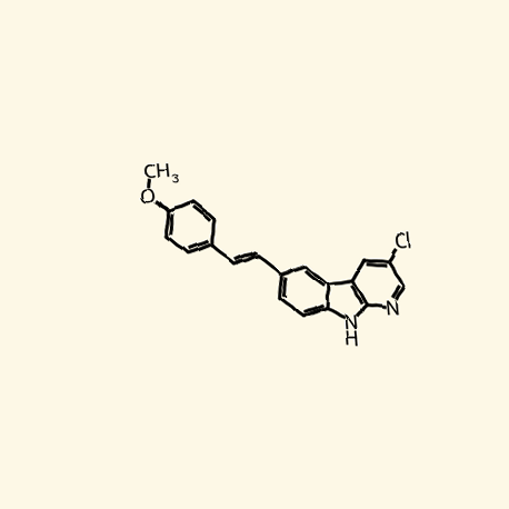 COc1ccc(/C=C/c2ccc3[nH]c4ncc(Cl)cc4c3c2)cc1